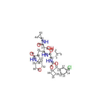 CC(C)C[C@H](NC(=O)OC1(Cc2cccc(Cl)c2)CCC1)C(=O)NC(CC1CC2(CCOCC2)NC1=O)C(O)C(=O)NC1CC1